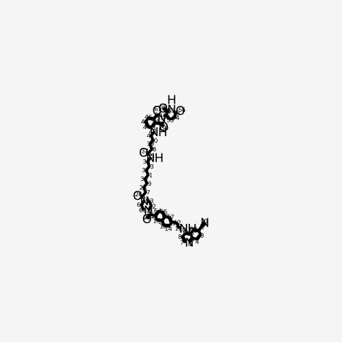 N#Cc1ccc2nccc(NCCc3ccc4cc(C(=O)N5CCN(C(=O)CCCCCCCCNC(=O)CCCCNc6cccc7c6C(=O)N(C6CCC(=O)NC6=O)C7=O)CC5)ccc4c3)c2c1